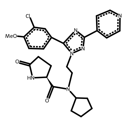 COc1ccc(-c2nc(-c3ccncc3)nn2CCN(C(=O)[C@@H]2CCC(=O)N2)C2CCCC2)cc1Cl